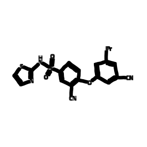 CC(C)c1cc(C#N)cc(Oc2ccc(S(=O)(=O)Nc3nccs3)cc2C#N)c1